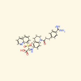 N=C(N)c1ccc(CCC(=O)N2CCCc3cc(NC(C(=O)O)S(=O)(=O)c4cccc5cccnc45)ccc32)cc1